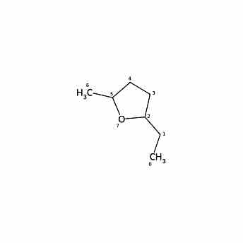 CCC1CCC(C)O1